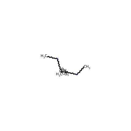 CCCCCCCC/C=C\CCCCCCCC(=O)OC(C)C(C)(C)OC(=O)CCCCCCC/C=C\CCCCCCCC